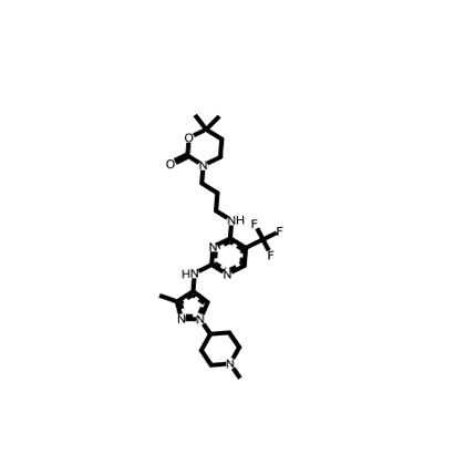 Cc1nn(C2CCN(C)CC2)cc1Nc1ncc(C(F)(F)F)c(NCCCN2CCC(C)(C)OC2=O)n1